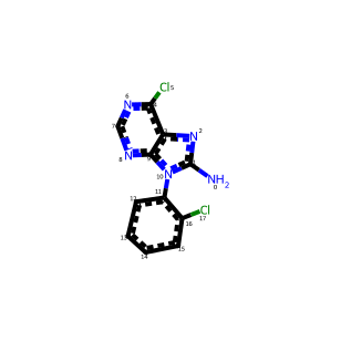 Nc1nc2c(Cl)ncnc2n1-c1ccccc1Cl